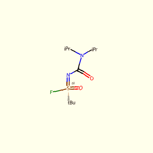 CC(C)N(C(=O)N=[S@@](=O)(F)C(C)(C)C)C(C)C